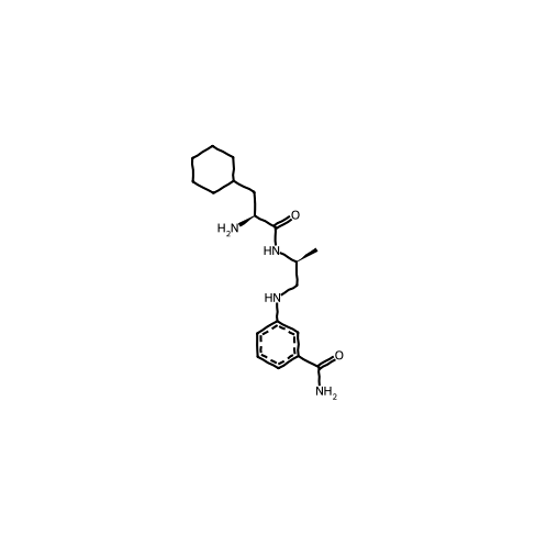 C[C@@H](CNc1cccc(C(N)=O)c1)NC(=O)[C@@H](N)CC1CCCCC1